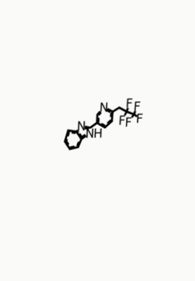 FC(F)(F)C(F)(F)Cc1ccc(-c2nc3ccccc3[nH]2)cn1